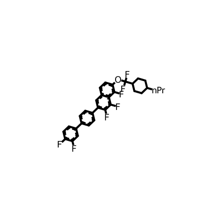 CCCC1CCC(C(F)(F)Oc2ccc3cc(-c4ccc(-c5ccc(F)c(F)c5)cc4)c(F)c(F)c3c2F)CC1